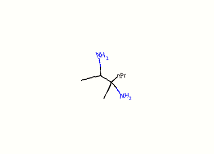 CCCC(C)(N)C(C)N